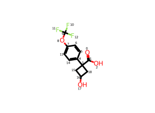 O=C(O)C1(c2ccc(OC(F)(F)F)cc2)CC(O)C1